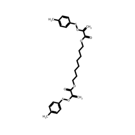 C=C(OSc1ccc(C)cc1)C(=O)OCCCCCCCCOC(=O)C(=C)OSc1ccc(C)cc1